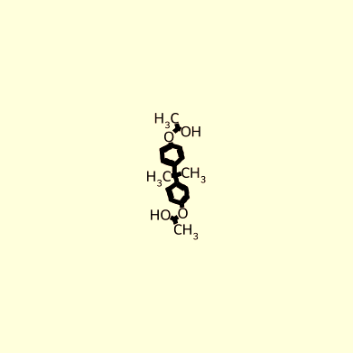 CC(O)Oc1ccc(C(C)(C)c2ccc(OC(C)O)cc2)cc1